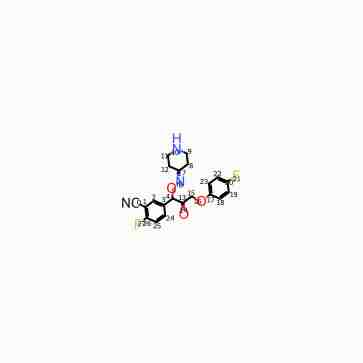 N#Cc1cc(C(ON=C2CCNCC2)C(=O)COc2ccc(F)cc2)ccc1F